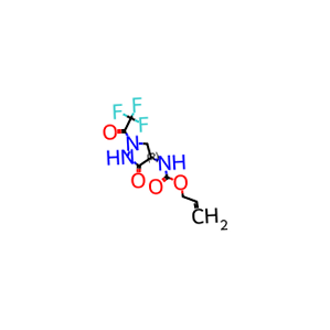 C=CCOC(=O)N[C@@H]1CN(C(=O)C(F)(F)F)NC1=O